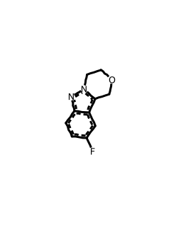 Fc1ccc2nn3c(c2c1)COCC3